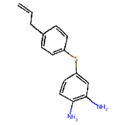 C=CCc1ccc(Sc2ccc(N)c(N)c2)cc1